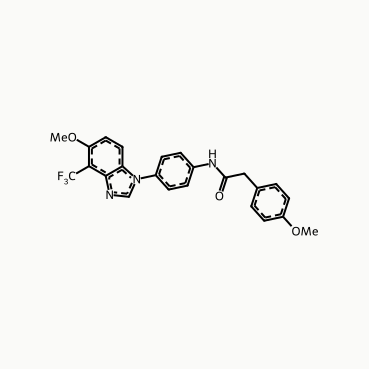 COc1ccc(CC(=O)Nc2ccc(-n3cnc4c(C(F)(F)F)c(OC)ccc43)cc2)cc1